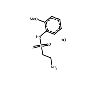 COc1ccccc1NS(=O)(=O)CCN.Cl